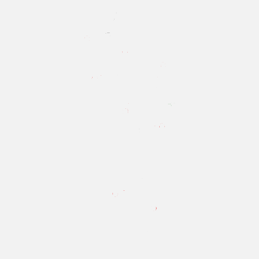 CCOC(=O)C=CC(=O)OC(C(=O)Br)C(=O)OC(C)=O